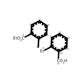 CCOC(=O)c1ccccc1C.CCc1ccccc1C(=O)O